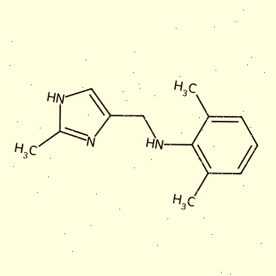 Cc1nc(CNc2c(C)cccc2C)c[nH]1